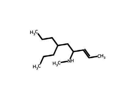 C/C=C/C(CC(CCC)CCC)NC